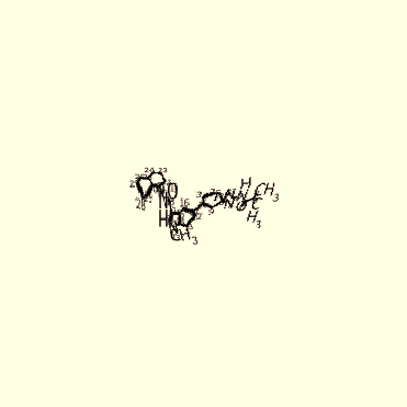 CC(C)C(=O)Nc1nc2cc(-c3ccc4c(c3)c(C(=O)N[C@H]3CCCc5ccccc53)cn4C)ccn2n1